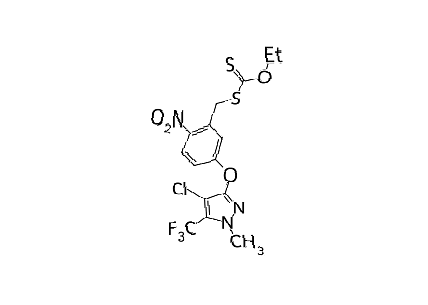 CCOC(=S)SCc1cc(Oc2nn(C)c(C(F)(F)F)c2Cl)ccc1[N+](=O)[O-]